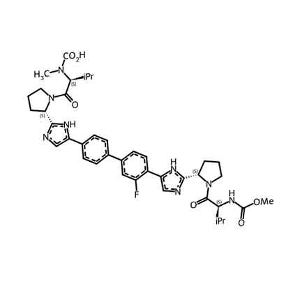 COC(=O)N[C@H](C(=O)N1CCC[C@H]1c1ncc(-c2ccc(-c3ccc(-c4cnc([C@@H]5CCCN5C(=O)[C@H](C(C)C)N(C)C(=O)O)[nH]4)cc3)cc2F)[nH]1)C(C)C